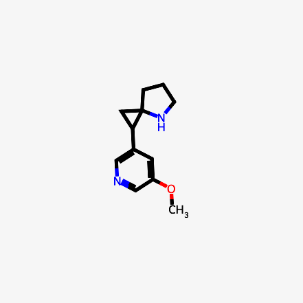 COc1cncc(C2CC23CCCN3)c1